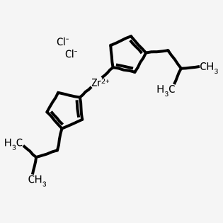 CC(C)CC1=CC[C]([Zr+2][C]2=CC(CC(C)C)=CC2)=C1.[Cl-].[Cl-]